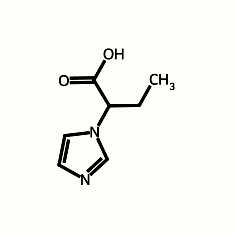 CCC(C(=O)O)n1ccnc1